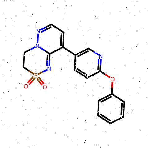 O=S1(=O)CCN2N=CC=C(c3ccc(Oc4ccccc4)nc3)C2=N1